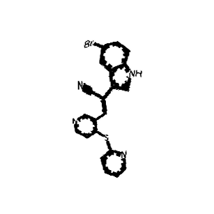 N#CC(=Cc1cnccc1Sc1ccccn1)c1c[nH]c2ccc(Br)cc12